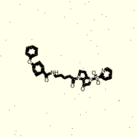 O=C(NCCCCC(=O)N1CCC2C1C(=O)CN2S(=O)(=O)c1ccccn1)c1ccc(Oc2ccccc2)cc1